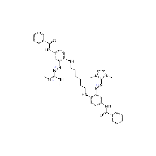 C/N=C(\N=N\c1cc(NC(=O)c2ccccc2)ccc1NCCCCCCNc1ccc(NC(=O)c2ccccc2)cc1/N=N/c1n(C)cc[n+]1C)NC